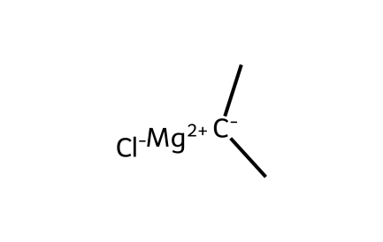 C[CH-]C.[Cl-].[Mg+2]